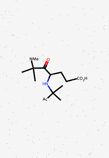 CNC(C)(C)C(=O)C(CCC(=O)O)NC(C)(C)C(C)=O